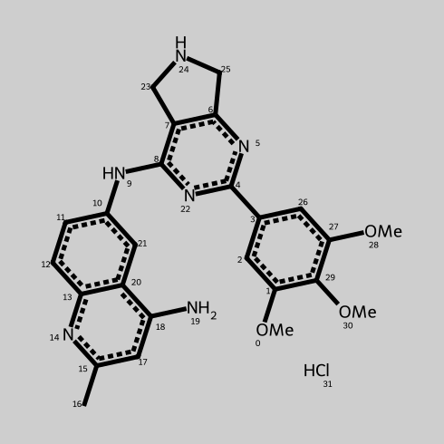 COc1cc(-c2nc3c(c(Nc4ccc5nc(C)cc(N)c5c4)n2)CNC3)cc(OC)c1OC.Cl